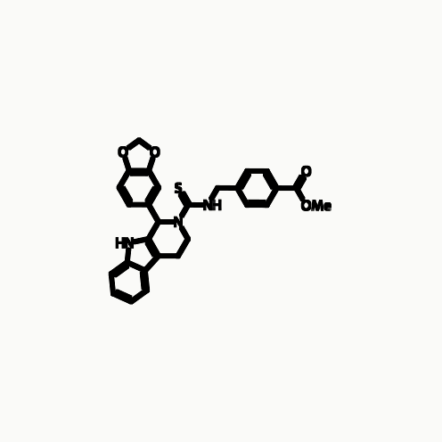 COC(=O)c1ccc(CNC(=S)N2CCc3c([nH]c4ccccc34)C2c2ccc3c(c2)OCO3)cc1